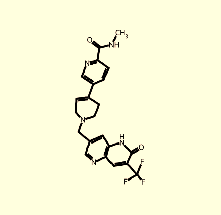 CNC(=O)c1ccc(C2=CCN(Cc3cnc4cc(C(F)(F)F)c(=O)[nH]c4c3)CC2)cn1